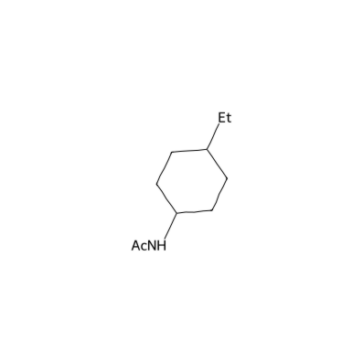 [CH2]CC1CCC(NC(C)=O)CC1